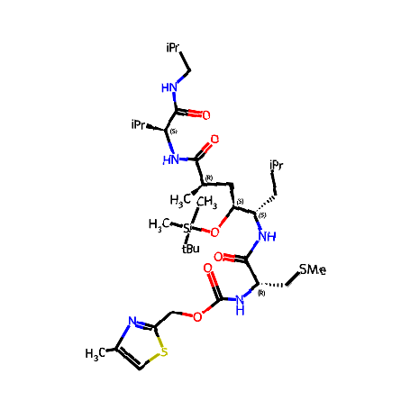 CSC[C@H](NC(=O)OCc1nc(C)cs1)C(=O)N[C@@H](CC(C)C)[C@H](C[C@@H](C)C(=O)N[C@H](C(=O)NCC(C)C)C(C)C)O[Si](C)(C)C(C)(C)C